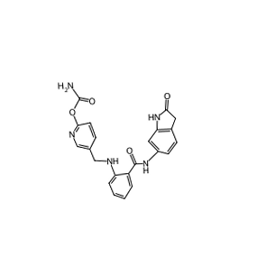 NC(=O)Oc1ccc(CNc2ccccc2C(=O)Nc2ccc3c(c2)NC(=O)C3)cn1